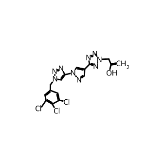 C=C(O)Cn1nnc(-c2cnn(-c3cn(Cc4cc(Cl)c(Cl)c(Cl)c4)nn3)c2)n1